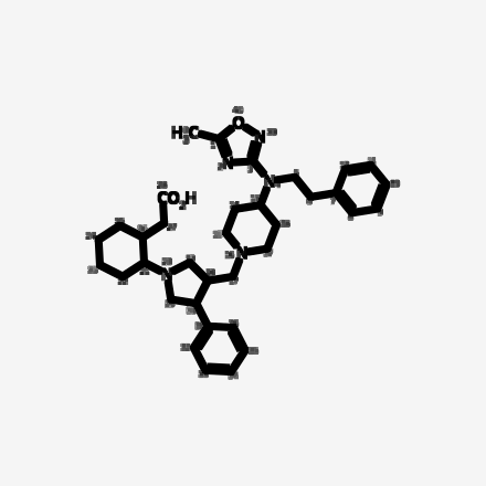 Cc1nc(N(CCc2ccccc2)C2CCN(CC3CN(C4CCCCC4CC(=O)O)CC3c3ccccc3)CC2)no1